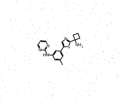 Cc1cc(Nc2ncccn2)cc(-c2cnc(C3(N)CCC3)s2)c1